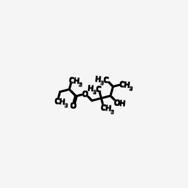 CCC(C)C(=O)OCC(C)(C)C(O)C(C)C